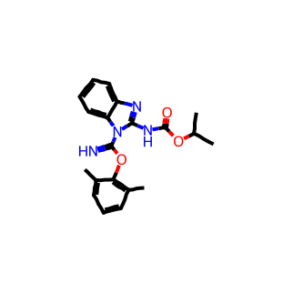 Cc1cccc(C)c1OC(=N)n1c(NC(=O)OC(C)C)nc2ccccc21